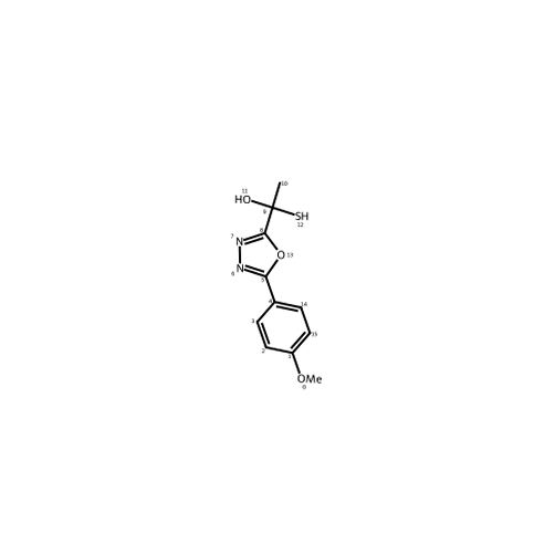 COc1ccc(-c2nnc(C(C)(O)S)o2)cc1